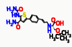 CC(C)(C)OC[C@H](NCC=Cc1ccc(-c2cc(C(N)=O)c(NC(N)=O)s2)cc1)C(=O)O